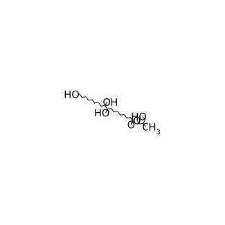 CC(CO)COC(=O)CCCCCCCC(O)C(O)CCCCCCCCO